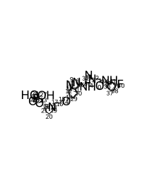 O=C(Cn1cc(Nc2ncnc3cc(OCCCN4CCC[C@@H]4COP(=O)(O)O)ccc23)cn1)Nc1cccc(F)c1